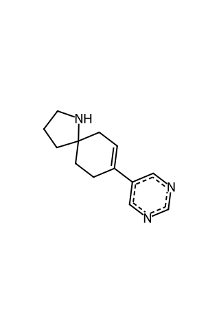 C1=C(c2cncnc2)CCC2(C1)CCCN2